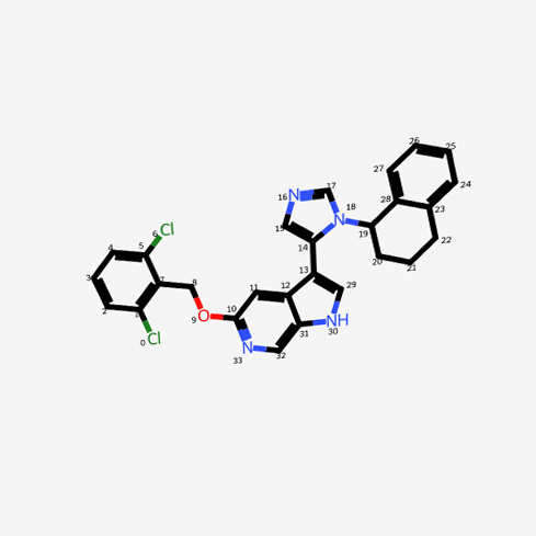 Clc1cccc(Cl)c1COc1cc2c(-c3cncn3C3CCCc4ccccc43)c[nH]c2cn1